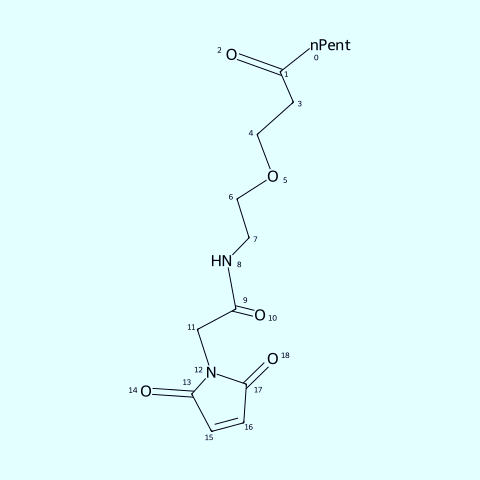 CCCCCC(=O)CCOCCNC(=O)CN1C(=O)C=CC1=O